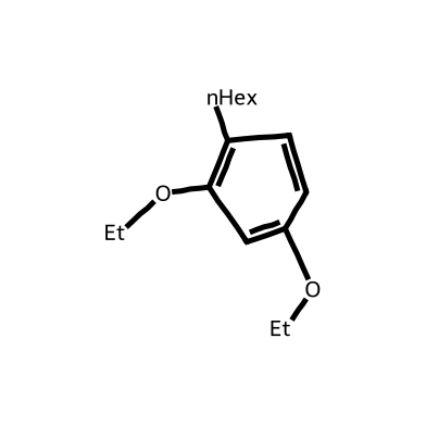 [CH2]CCCCCc1ccc(OCC)cc1OCC